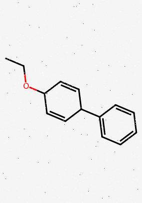 CCO[C]1C=CC(c2ccccc2)C=C1